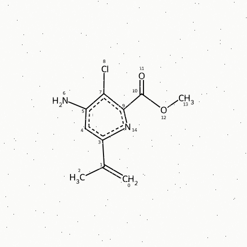 C=C(C)c1cc(N)c(Cl)c(C(=O)OC)n1